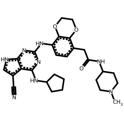 CN1CCC(NC(=O)Cc2ccc(Nc3nc(NC4CCCC4)c4c(C#N)c[nH]c4n3)c3c2OCCO3)CC1